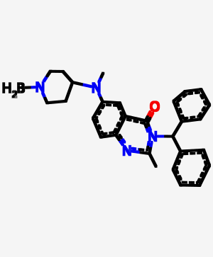 BN1CCC(N(C)c2ccc3nc(C)n(C(c4ccccc4)c4ccccc4)c(=O)c3c2)CC1